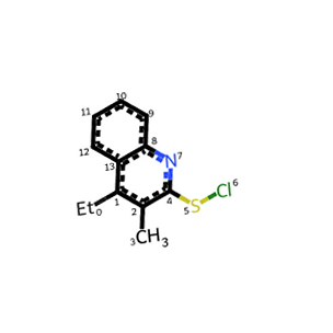 CCc1c(C)c(SCl)nc2ccccc12